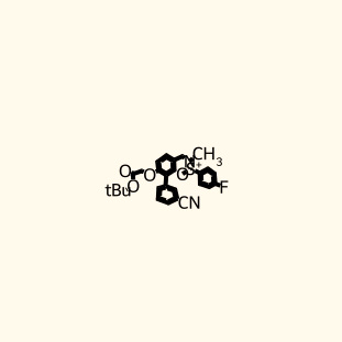 CN(Cc1ccc(OCC(=O)OC(C)(C)C)c(-c2cccc(C#N)c2)c1)[S+]([O-])c1ccc(F)cc1